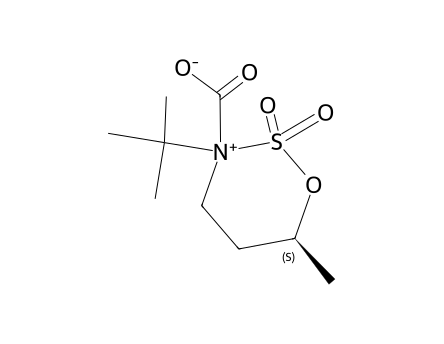 C[C@H]1CC[N+](C(=O)[O-])(C(C)(C)C)S(=O)(=O)O1